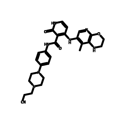 Cc1c(Nc2cc[nH]c(=O)c2C(=O)Nc2ccc(N3CCN(CCC#N)CC3)cc2)cnc2c1NCCO2